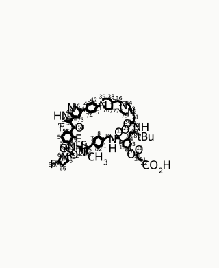 Cc1ncsc1-c1ccc(CNC(=O)[C@@H]2C[C@@H](OC(=O)CCC(=O)O)CC2C(=O)[C@@H](NC(=O)CN2CCN(CC3CCN(c4ccc(-c5cnc6[nH]cc(C(=O)c7c(F)ccc(NS(=O)(=O)N8CC[C@@H](F)C8)c7F)c6c5)cc4)CC3)CC2)C(C)(C)C)cc1